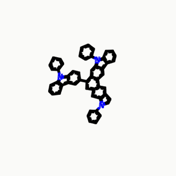 c1ccc(-n2ccc3cc4c(cc(-c5ccc6c(c5)c5ccccc5n6-c5ccccc5)c5cc6c(cc54)c4ccccc4n6-c4ccccc4)cc32)cc1